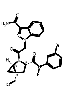 NC(=O)c1nn(CC(=O)N2[C@H](C(=O)N(F)c3cccc(Br)c3)C[C@@]3(CO)C[C@@H]23)c2ccccc12